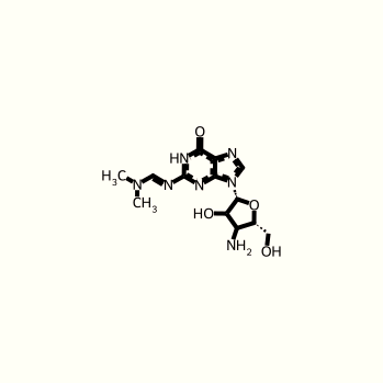 CN(C)C=Nc1nc2c(ncn2[C@@H]2O[C@H](CO)C(N)C2O)c(=O)[nH]1